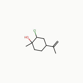 C=C(C)C1CCC(C)(O)C(Cl)C1